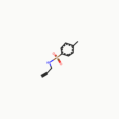 C#CCNS(=O)(=O)c1ccc(C)cc1